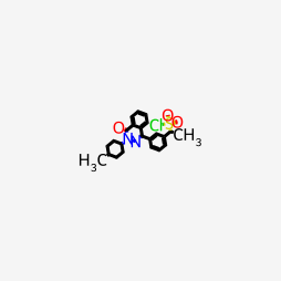 CC1CCC(n2nc(-c3cccc(C(C)S(=O)(=O)Cl)c3)c3ccccc3c2=O)CC1